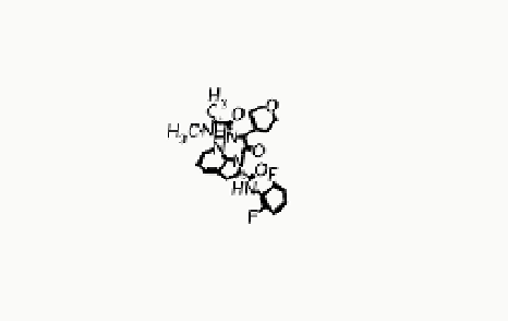 CN[C@@H](C)C(=O)NC(C(=O)N1c2ncccc2C[C@@H]1C(=O)Nc1c(F)cccc1F)C1CCOCC1